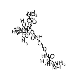 CC(C)(C)C(=O)OCC(COCC(=O)NCCOCCOCCNC(=O)C(N)CNC(=N)N)(COC(=O)C(C)(C)C1CN1)COC(=O)C(C)(C)C1CN1